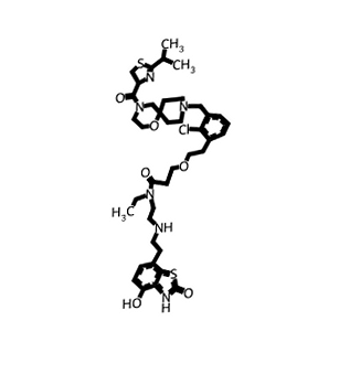 CCN(CCNCCc1ccc(O)c2[nH]c(=O)sc12)C(=O)CCOCCc1cccc(CN2CCC3(CC2)CN(C(=O)C2CSC(C(C)C)=N2)CCO3)c1Cl